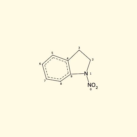 O=[N+]([O-])N1CCc2ccccc21